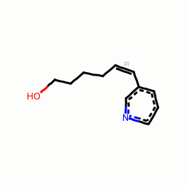 OCCCC/C=C\c1cccnc1